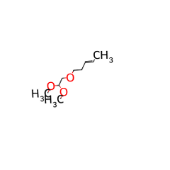 C/C=C/CCOCC(OC)OC